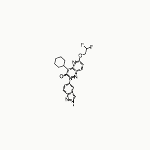 Cn1cc2cc(-n3nc4ccc(OCC(F)F)nc4c(C4CCCCC4)c3=O)ccc2n1